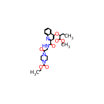 CCOC(=O)N1CCN(C(=O)CNC(=O)c2cc(OC(CC)C(=O)OC)c3ccccc3n2)CC1